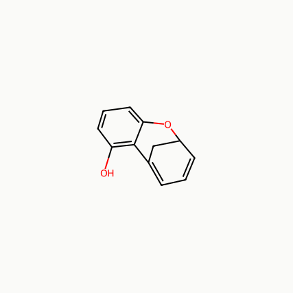 Oc1cccc2c1C1=CC=CC(C1)O2